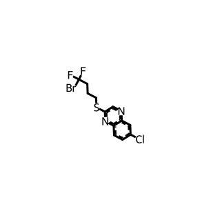 FC(F)(Br)CCCSc1cnc2cc(Cl)ccc2n1